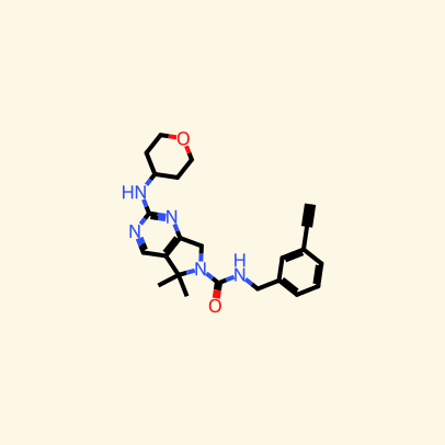 C#Cc1cccc(CNC(=O)N2Cc3nc(NC4CCOCC4)ncc3C2(C)C)c1